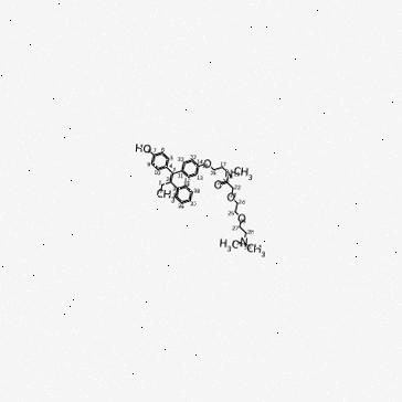 CC/C(=C(\c1ccc(O)cc1)c1ccc(OCCN(C)C(=O)COCCOCCN(C)C)cc1)c1ccccc1